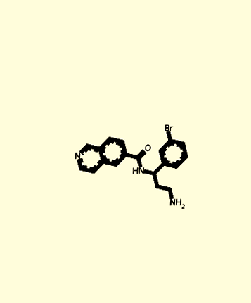 NCCC(NC(=O)c1ccc2cnccc2c1)c1cccc(Br)c1